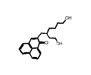 O=C1C(CC(CCO)CCCCO)=Cc2cccc3cccc1c23